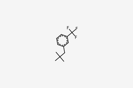 CC(C)(C)Cc1cccc(C(F)(F)F)c1